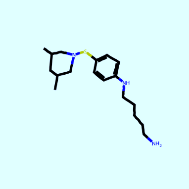 CC1CC(C)CN(Sc2ccc(NCCCCCN)cc2)C1